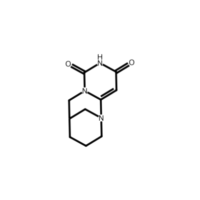 O=c1cc2n(c(=O)[nH]1)CC1CCCN2C1